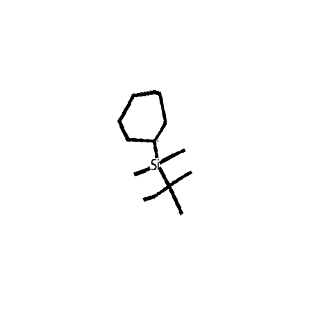 CC(C)(C)[Si](C)(C)[C]1CCCCC1